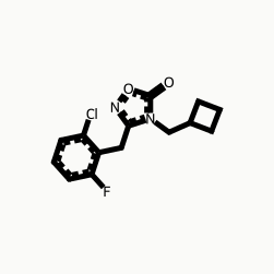 O=c1onc(Cc2c(F)cccc2Cl)n1CC1CCC1